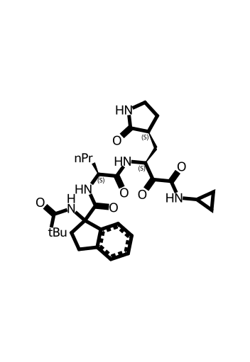 CCC[C@H](NC(=O)C1(NC(=O)C(C)(C)C)CCc2ccccc21)C(=O)N[C@@H](C[C@@H]1CCNC1=O)C(=O)C(=O)NC1CC1